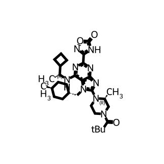 C[C@@H]1CN(C(=O)C(C)(C)C)CCN1c1nc2nc(-c3noc(=O)[nH]3)nc(N[C@H](C)C3CCC3)c2n1C[C@H]1CC[C@H](C)CC1